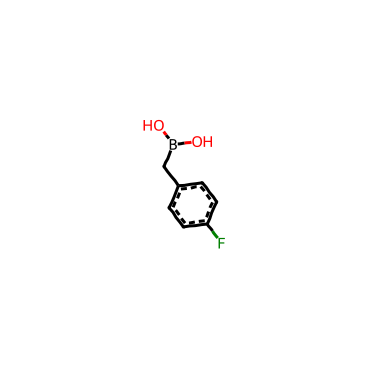 OB(O)Cc1ccc(F)cc1